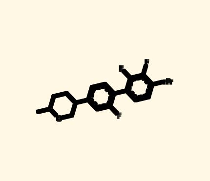 CCCc1ccc(-c2ccc(C3CCC(C)OC3)cc2F)c(F)c1F